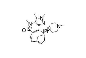 Cc1c(N(C)[S+]([O-])C2=C/CCC/C=C(CCCN3CCN(C)CC3)/C=C\2)c(CC(C)C)nn1C